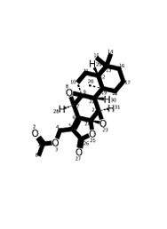 CC(=O)OCC1=C2[C@H]3O[C@]34CC[C@@H]3C(C)(C)CCC[C@@]3(C)[C@@H]4[C@H]3O[C@@]23OC1=O